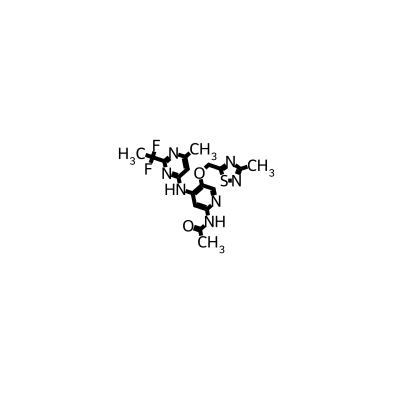 CC(=O)Nc1cc(Nc2cc(C)nc(C(C)(F)F)n2)c(OCc2nc(C)ns2)cn1